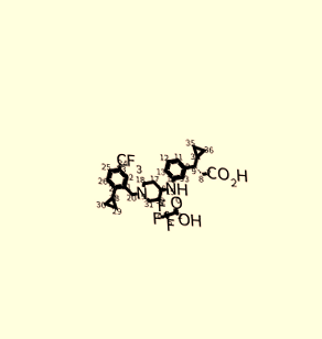 O=C(O)C(F)(F)F.O=C(O)C[C@H](c1cccc(NC2CCN(Cc3cc(C(F)(F)F)ccc3C3CC3)CC2)c1)C1CC1